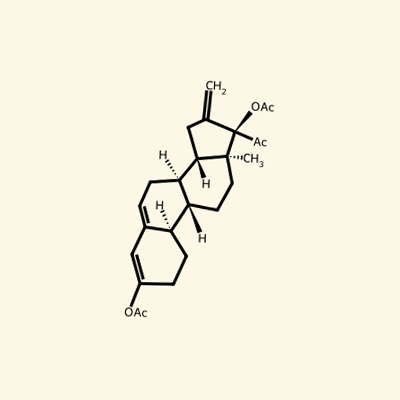 C=C1C[C@H]2[C@@H]3CC=C4C=C(OC(C)=O)CC[C@@H]4[C@H]3CC[C@]2(C)[C@@]1(OC(C)=O)C(C)=O